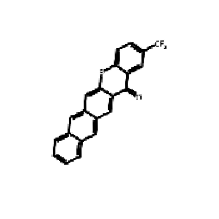 O=c1c2cc(C(F)(F)F)ccc2sc2cc3cc4ccccc4cc3cc12